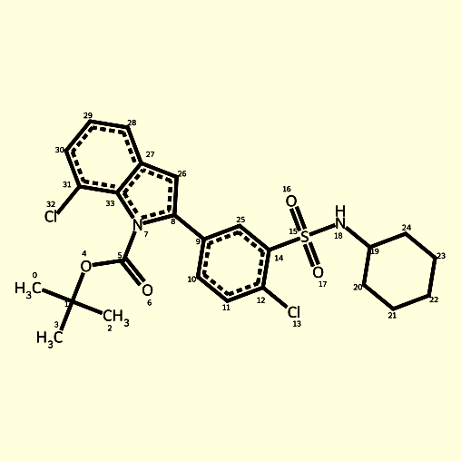 CC(C)(C)OC(=O)n1c(-c2ccc(Cl)c(S(=O)(=O)NC3CCCCC3)c2)cc2cccc(Cl)c21